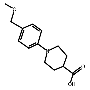 COCc1ccc(N2CCC(C(=O)O)CC2)cc1